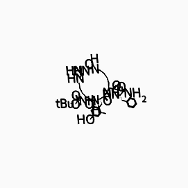 Cc1cc(O)cc(C)c1C[C@@H]1NC(=O)[C@H](NC(=O)OC(C)(C)C)CCCNC(=N)NC(=O)NCCCC[C@@H](C(=O)N[C@@H](Cc2ccccc2)C(N)=O)NC1=O